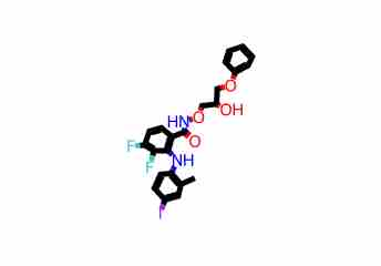 Cc1cc(I)ccc1Nc1c(C(=O)NOCC(O)COc2ccccc2)ccc(F)c1F